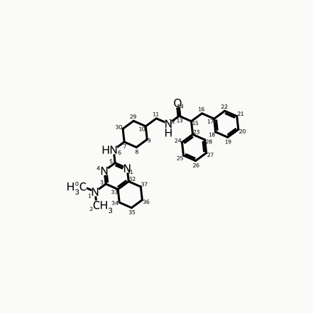 CN(C)c1nc(NC2CCC(CNC(=O)C(Cc3ccccc3)c3ccccc3)CC2)nc2c1CCCC2